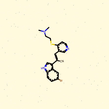 CN(C)CCSc1ccncc1/C=C(\C#N)c1c[nH]c2ccc(Br)cc12